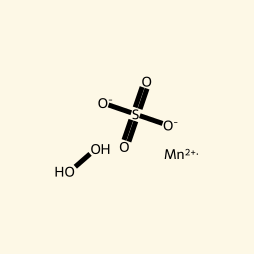 O=S(=O)([O-])[O-].OO.[Mn+2]